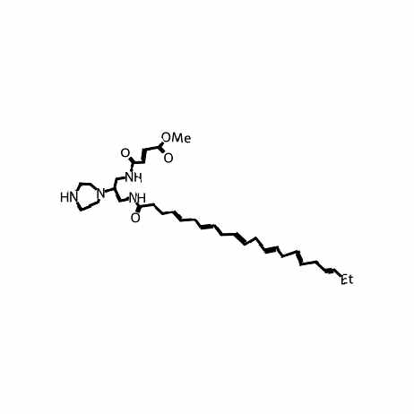 CCC=CCC=CCC=CCC=CCC=CCC=CCCC(=O)NCC(CNC(=O)C=CC(=O)OC)N1CCNCC1